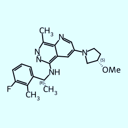 CO[C@H]1CCN(c2cnc3c(C)nnc(N[C@H](C)c4cccc(F)c4C)c3c2)C1